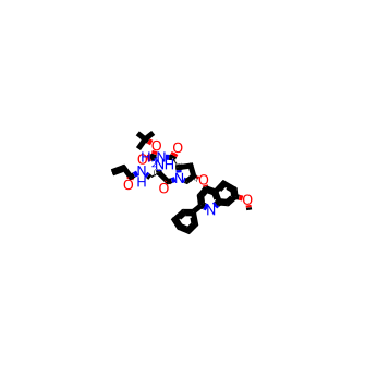 C=CC(=O)NC[C@H](NC(=O)OC(C)(C)C)C(=O)N1C[C@H](Oc2cc(-c3ccccc3)nc3cc(OC)ccc23)C[C@H]1C(N)=O